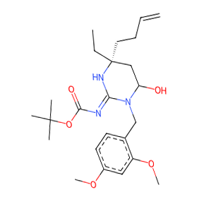 C=CCC[C@]1(CC)CC(O)N(Cc2ccc(OC)cc2OC)/C(=N/C(=O)OC(C)(C)C)N1